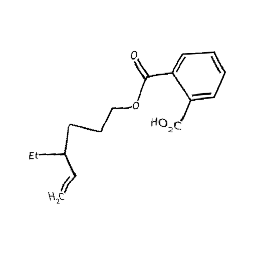 C=CC(CC)CCCOC(=O)c1ccccc1C(=O)O